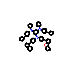 c1ccc(-c2ccc(N(c3ccccc3)c3cc(N(c4ccccc4)c4ccc(-c5ccccc5)cc4)cc(N(c4ccc(-c5cccc6ccccc56)cc4)c4ccc(-c5cccc6c5oc5ccccc56)cc4)c3)cc2)cc1